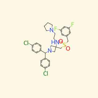 O=S(=O)(Cc1cc(F)cc(F)c1)CC1(NCCN2CCCC2)CN(C(c2ccc(Cl)cc2)c2ccc(Cl)cc2)C1